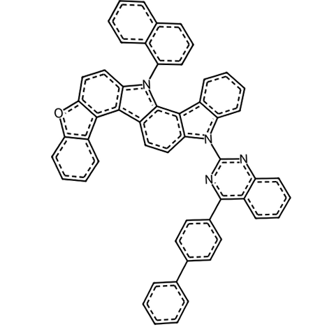 c1ccc(-c2ccc(-c3nc(-n4c5ccccc5c5c4ccc4c6c7c(ccc6n(-c6cccc8ccccc68)c45)oc4ccccc47)nc4ccccc34)cc2)cc1